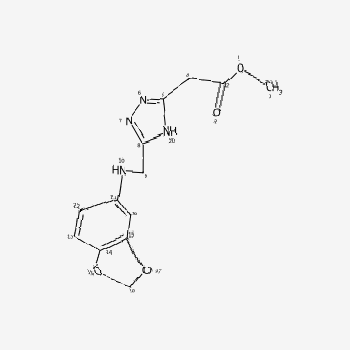 COC(=O)Cc1nnc(CNc2ccc3c(c2)OCO3)[nH]1